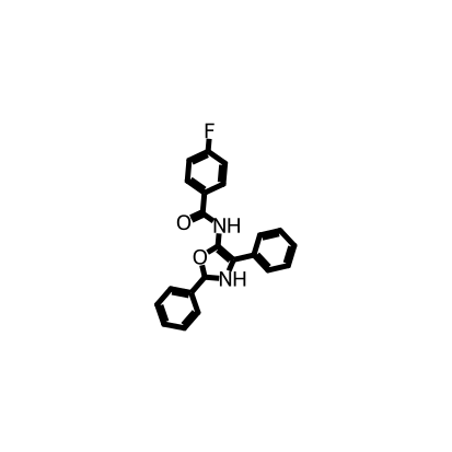 O=C(NC1=C(c2ccccc2)NC(c2ccccc2)O1)c1ccc(F)cc1